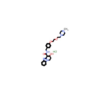 CN1CCN(CCOCCOc2ccc(CNC(=O)C3=C(O)CCn4c3nc3ccccc34)cc2)CC1.Cl